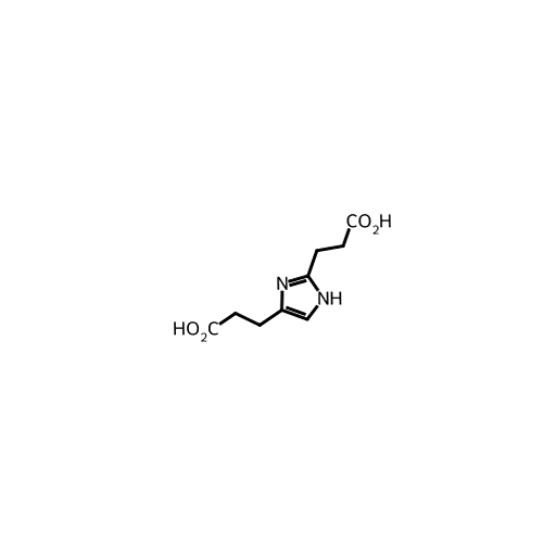 O=C(O)CCc1c[nH]c(CCC(=O)O)n1